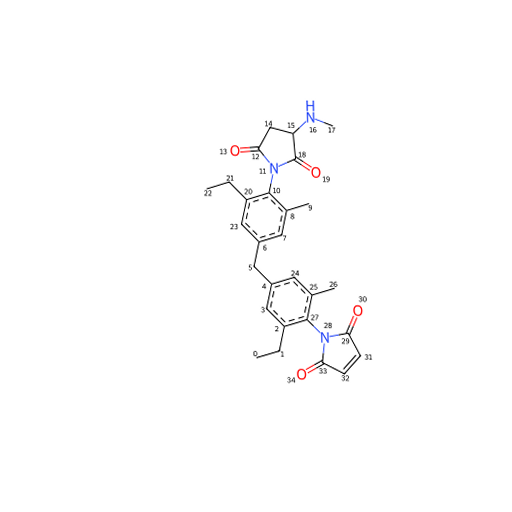 CCc1cc(Cc2cc(C)c(N3C(=O)CC(NC)C3=O)c(CC)c2)cc(C)c1N1C(=O)C=CC1=O